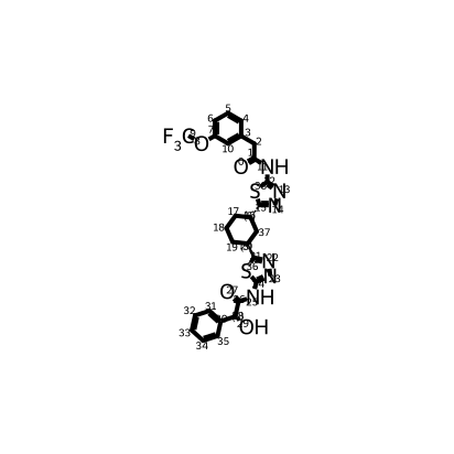 O=C(Cc1cccc(OC(F)(F)F)c1)Nc1nnc([C@H]2CCC[C@H](c3nnc(NC(=O)[C@@H](O)c4ccccc4)s3)C2)s1